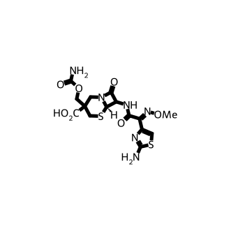 CON=C(C(=O)NC1C(=O)N2CC(COC(N)=O)(C(=O)O)CS[C@H]12)c1csc(N)n1